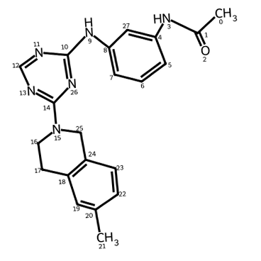 CC(=O)Nc1cccc(Nc2ncnc(N3CCc4cc(C)ccc4C3)n2)c1